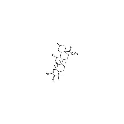 COC(=O)[C@]12CC[C@H](C)CC1C1C(=O)C=C3[C@@]4(C)C=C(C#N)C(=O)C(C)(C)C4CC[C@@]3(C)[C@]1(C)CC2